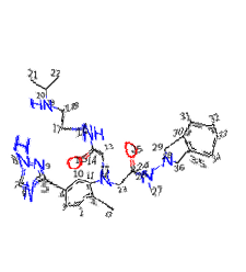 Cc1ccc(-c2nc[nH]n2)cc1N(CC(=O)NCCNC(C)C)CC(=O)N(C)N1Cc2ccccc2C1